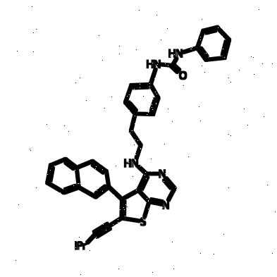 CC(C)C#Cc1sc2ncnc(NCCc3ccc(NC(=O)Nc4ccccc4)cc3)c2c1-c1ccc2ccccc2c1